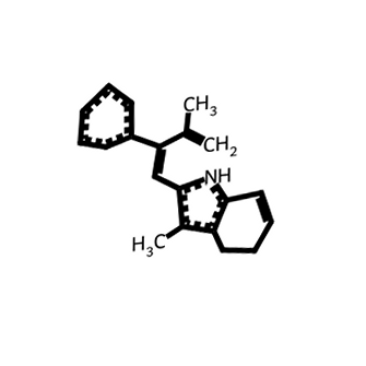 C=C(C)/C(=C\c1[nH]c2c(c1C)CCC=C2)c1ccccc1